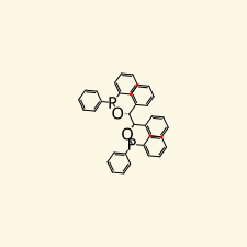 c1ccc([C@@H](OP(c2ccccc2)c2ccccc2)[C@H](OP(c2ccccc2)c2ccccc2)c2ccccc2)cc1